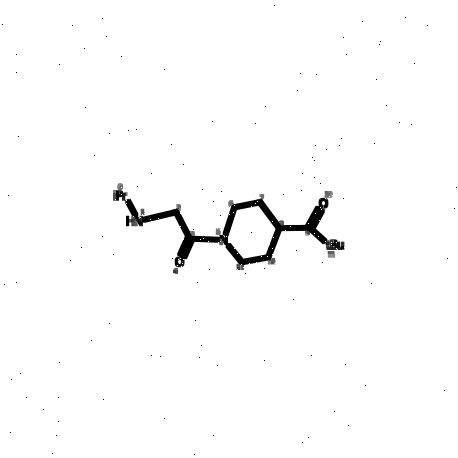 CC(C)NCC(=O)N1CCC(C(=O)C(C)(C)C)CC1